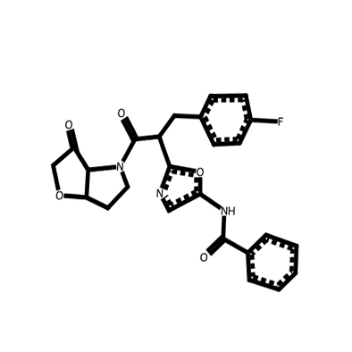 O=C(Nc1cnc(C(Cc2ccc(F)cc2)C(=O)N2CCC3OCC(=O)C32)o1)c1ccccc1